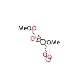 COC(=O)CCC(=O)c1cc2cc(CCCOC3CCCCO3)c(OC)cc2s1